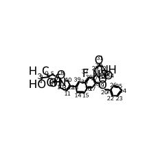 CC(C)(CO)CS(=O)(=O)N1CC=C(c2ccc3cc(OCc4ccccc4)c(N4CC(=O)NS4(=O)=O)c(F)c3c2)C1